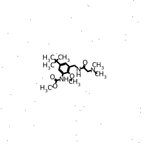 COC(=O)Nc1cc(C(C)(C)C)cc(CNC(=O)CN(C)C)c1OC